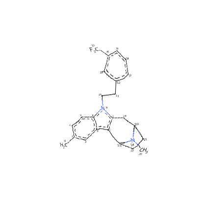 Cc1ccc2c(c1)c1c(n2CCc2cccc(C(F)(F)F)c2)CC2CCC1N2C